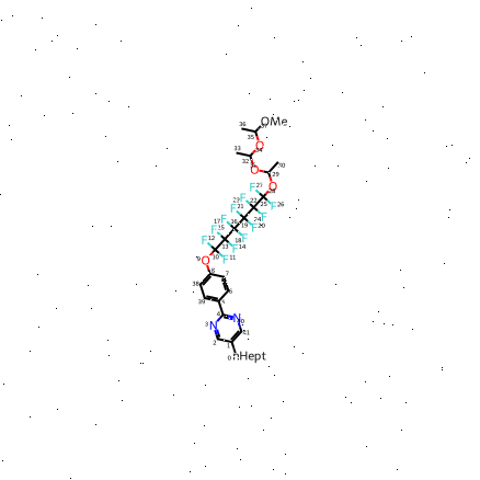 CCCCCCCc1cnc(-c2ccc(OC(F)(F)C(F)(F)C(F)(F)C(F)(F)C(F)(F)C(F)(F)OC(C)OC(C)OC(C)OC)cc2)nc1